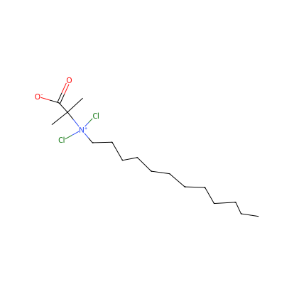 CCCCCCCCCCCC[N+](Cl)(Cl)C(C)(C)C(=O)[O-]